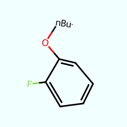 CCC[CH]Oc1ccccc1F